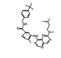 Cc1ccc(C(=O)NCc2ccc(C(C)(C)C)cc2)cc1Nc1ncnc2cnc(N(C)CCN(C)C)nc12